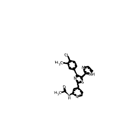 CC(=O)Nc1cc(-c2nc(-c3ccc(Cl)c(C)c3)c(-c3ncc[nH]3)s2)ccn1